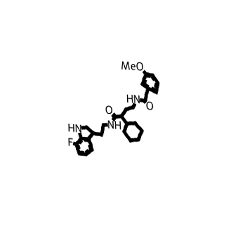 COc1cccc(C(=O)NCCC(C(=O)NCCC2CNc3c(F)cccc32)C2CCCCC2)c1